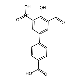 O=Cc1cc(-c2ccc(C(=O)O)cc2)cc([N+](=O)O)c1O